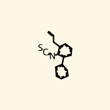 C=CCc1cccc(-c2ccccc2)c1N=C=S